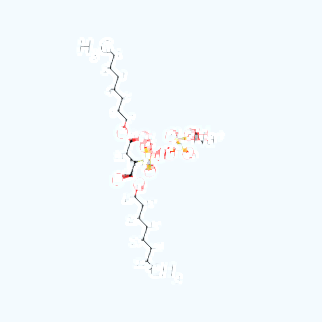 CCCCCCCCOC(=O)CC(C(=O)OCCCCCCCC)S(=O)(=O)[O-].O=S(=O)(O)O.[Na+]